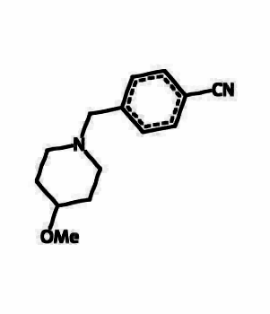 COC1CCN(Cc2ccc(C#N)cc2)CC1